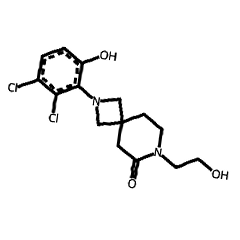 O=C1CC2(CCN1CCO)CN(c1c(O)ccc(Cl)c1Cl)C2